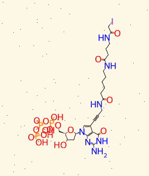 Nc1nc2c(c(C#CCNC(=O)CCCCCNC(=O)CCCNC(=O)CI)cn2[C@H]2CC(O)[C@@H](COP(=O)(O)OP(=O)(O)OP(=O)(O)O)O2)c(=O)[nH]1